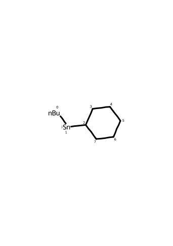 CCC[CH2][Sn][CH]1CCCCC1